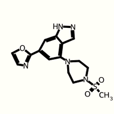 CS(=O)(=O)N1CCN(c2cc(-c3ncco3)cc3[nH]ncc23)CC1